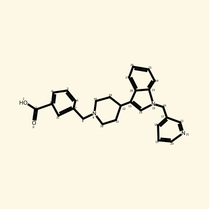 O=C(O)c1cccc(CN2CCC(c3cn(Cc4cccnc4)c4ccccc34)CC2)c1